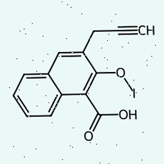 C#CCc1cc2ccccc2c(C(=O)O)c1OI